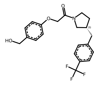 O=C(COc1ccc(CO)cc1)N1CC[C@H](Cc2ccc(C(F)(F)F)cc2)C1